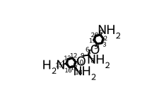 Nc1ccc(OCC(N)COc2ccc(N)cc2N)cc1